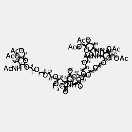 CC(=O)NC1C(OCCOCCOCCOC(=O)CCC(CCC(=O)OCCOCCOCCOC2OC(COC(C)=O)C(OC(C)=O)C(C)C2NC(C)=O)(CC(=O)OCCOCCOCCOC2OC(COC(C)=O)C(OC(C)=O)C(C)C2NC(C)=O)NC(=O)C(F)(F)F)OC(COC(C)=O)C(OC(C)=O)C1C